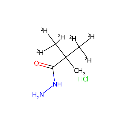 Cl.[2H]C([2H])([2H])C(C)(C(=O)NN)C([2H])([2H])[2H]